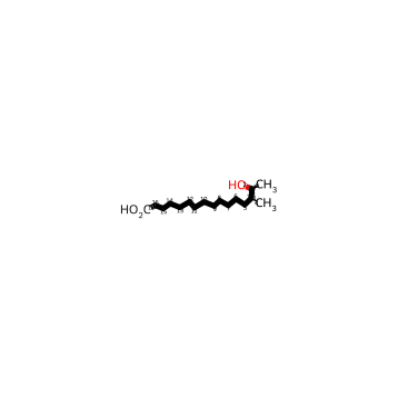 C[C@H](O)[C@H](C)CCCCCCCCCCCCC(=O)O